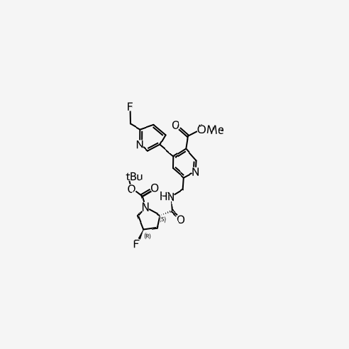 COC(=O)c1cnc(CNC(=O)[C@@H]2C[C@@H](F)CN2C(=O)OC(C)(C)C)cc1-c1ccc(CF)nc1